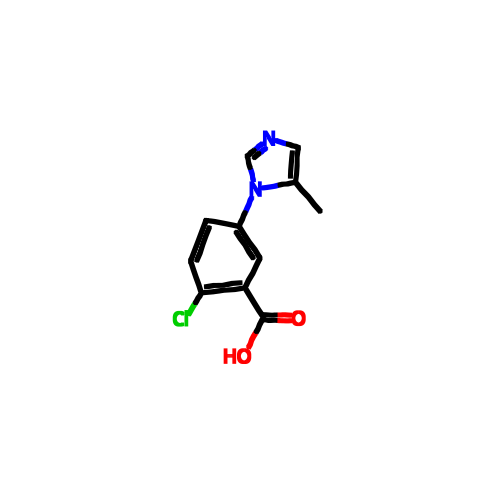 Cc1cncn1-c1ccc(Cl)c(C(=O)O)c1